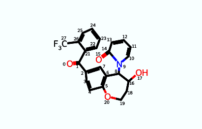 O=C(c1ccc2c(c1)C(n1ccccc1=O)C(O)CCO2)c1ccccc1C(F)(F)F